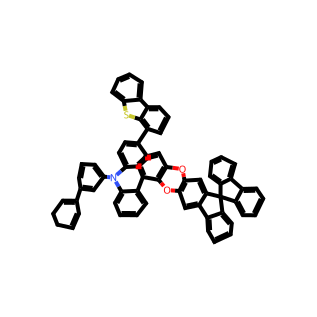 C1=CC(c2cccc(N(c3ccc(-c4cccc5c4sc4ccccc45)cc3)c3ccccc3-c3cccc4c3Oc3cc5c(cc3O4)C3(c4ccccc4-c4ccccc43)c3ccccc3-5)c2)=CCC1